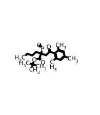 CCCCC(CC(=O)c1c(C)cc(C)cc1C)(P=O)C(=O)OC(C)(C)C